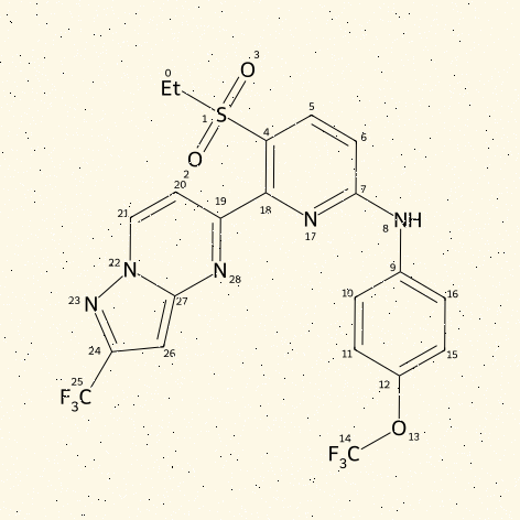 CCS(=O)(=O)c1ccc(Nc2ccc(OC(F)(F)F)cc2)nc1-c1ccn2nc(C(F)(F)F)cc2n1